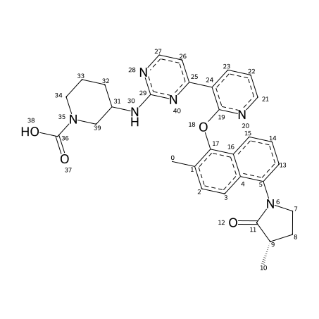 Cc1ccc2c(N3CC[C@H](C)C3=O)cccc2c1Oc1ncccc1-c1ccnc(NC2CCCN(C(=O)O)C2)n1